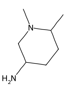 CC1CCC(N)CN1C